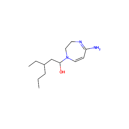 CCCC(CC)CC(O)N1C=CC(N)=NCC1